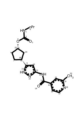 CCCNC(=O)O[C@H]1CC[C@@H](c2cc(NC(=O)c3ccnc(C)c3)n[nH]2)C1